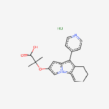 CC(C)(Oc1cc2c(-c3ccncc3)c3c(n2c1)=CCCC3)C(=O)O.Cl